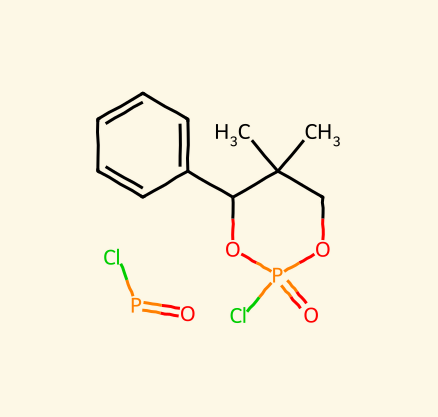 CC1(C)COP(=O)(Cl)OC1c1ccccc1.O=PCl